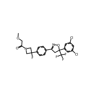 COCC(=O)N1CC(F)(c2ccc(C3=NOC(c4cc(Cl)cc(Cl)c4)(C(F)(F)F)C3)cc2)C1